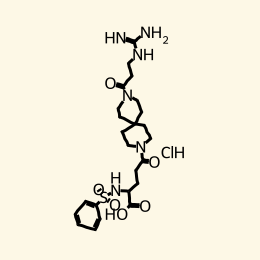 Cl.N=C(N)NCCC(=O)N1CCC2(CC1)CCN(C(=O)CCC(NS(=O)(=O)c1ccccc1)C(=O)O)CC2